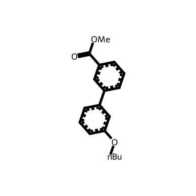 CCCCOc1cccc(-c2cccc(C(=O)OC)c2)c1